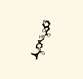 CC1C(C)C1C(=O)N1CCC2(CC1)CC2CNC(=O)c1cc2ccncc2o1